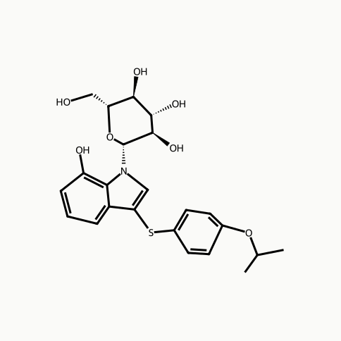 CC(C)Oc1ccc(Sc2cn([C@@H]3O[C@H](CO)[C@@H](O)[C@H](O)[C@H]3O)c3c(O)cccc23)cc1